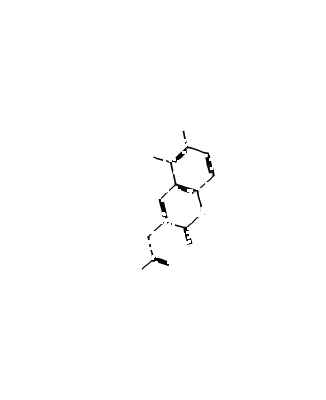 C[C@@H](C(=O)O)c1cc2c(F)c(F)ccc2[nH]c1=O